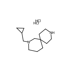 C1CN(CC2CC2)CC2(C1)CCNCC2.Cl.Cl